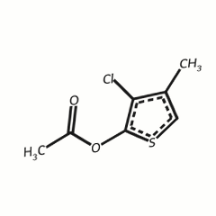 CC(=O)Oc1scc(C)c1Cl